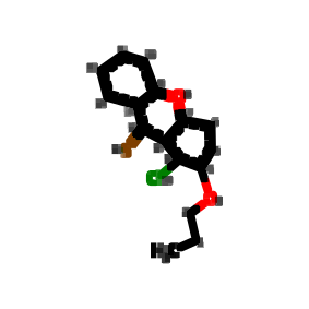 CCCOc1ccc2oc3ccccc3c(=S)c2c1Cl